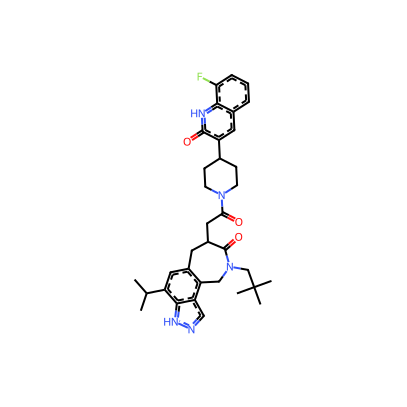 CC(C)c1cc2c(c3cn[nH]c13)CN(CC(C)(C)C)C(=O)C(CC(=O)N1CCC(c3cc4cccc(F)c4[nH]c3=O)CC1)C2